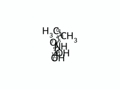 CCC(C)CCC(=O)NCC(O)CO